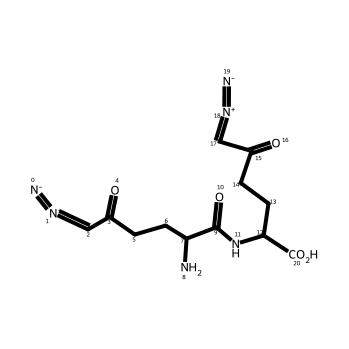 [N-]=[N+]=CC(=O)CCC(N)C(=O)NC(CCC(=O)C=[N+]=[N-])C(=O)O